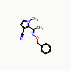 C/C(=N\OCc1ccccc1)c1c(C#N)ccn1C